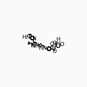 N=C(/C(=C\NC1CC(CNc2ccc3c(c2)C(=O)N(C2CCC(=O)NC2=O)C3=O)C1)c1cc2[nH]ccc2cn1)C1CC1